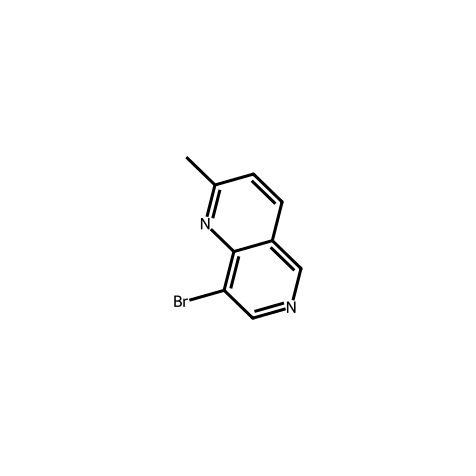 Cc1ccc2cncc(Br)c2n1